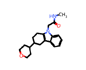 CNC(=O)Cn1c2c(c3ccccc31)CC(C1CCOCC1)CC2